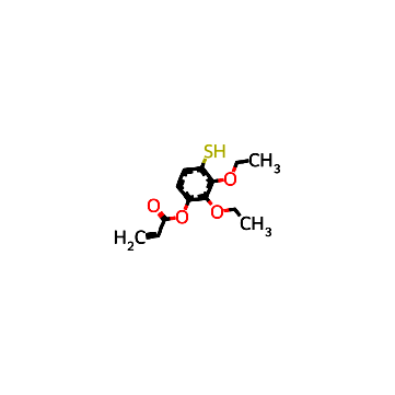 C=CC(=O)Oc1ccc(S)c(OCC)c1OCC